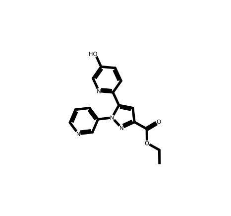 CCOC(=O)c1cc(-c2ccc(O)cn2)n(-c2cccnc2)n1